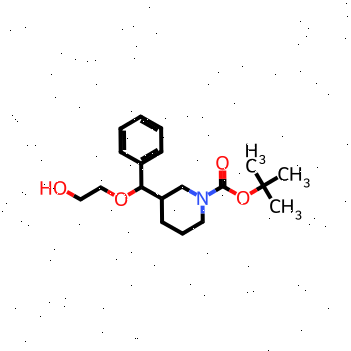 CC(C)(C)OC(=O)N1CCCC(C(OCCO)c2ccccc2)C1